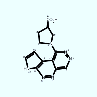 O=C(O)C1CCN(c2nncc3nnc4[nH]ccc4c23)C1